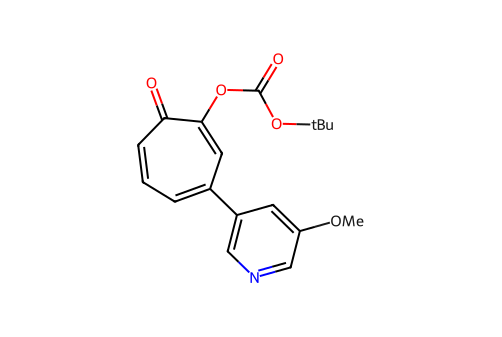 COc1cncc(-c2cccc(=O)c(OC(=O)OC(C)(C)C)c2)c1